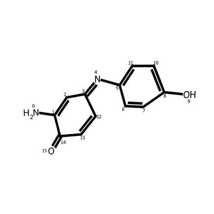 NC1=CC(=Nc2ccc(O)cc2)C=CC1=O